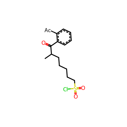 CC(=O)c1ccccc1C(=O)C(C)CCCCCS(=O)(=O)Cl